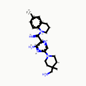 CC1(CN)CCN(c2cnc(C(=N)N3CCCc4cc(C(F)(F)F)ccc43)c(N)n2)CC1